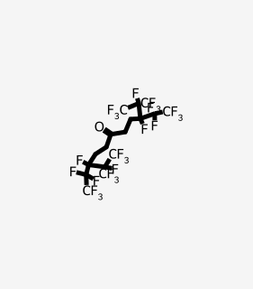 O=C(CCC(F)(C(F)(F)C(F)(F)F)C(F)(C(F)(F)F)C(F)(F)F)CCC(F)(C(F)(F)C(F)(F)F)C(F)(C(F)(F)F)C(F)(F)F